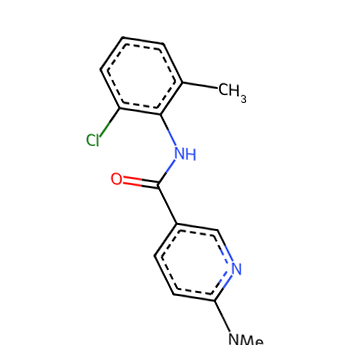 CNc1ccc(C(=O)Nc2c(C)cccc2Cl)cn1